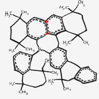 CC1(C)CCC(C)(C)c2c(-c3cc4c(cc3N(c3cccc5c3C(C)(C)CCC5(C)C)c3cccc5c3C(C)(C)CCC5(C)C)C(C)(C)c3ccccc3-4)cccc21